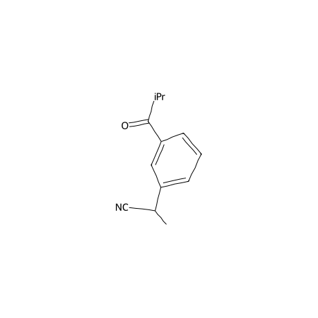 CC(C)C(=O)c1cccc(C(C)C#N)c1